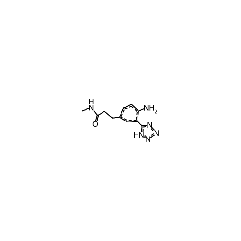 CNC(=O)CCc1ccc(N)c(-c2nnn[nH]2)c1